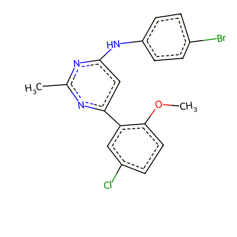 COc1ccc(Cl)cc1-c1cc(Nc2ccc(Br)cc2)nc(C)n1